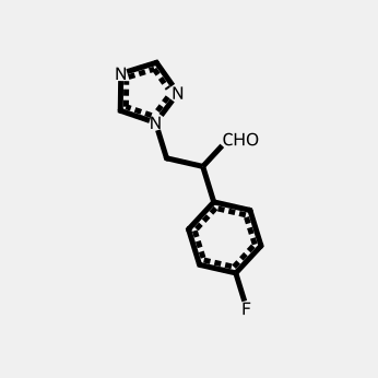 O=CC(Cn1cncn1)c1ccc(F)cc1